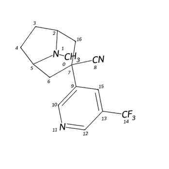 CN1C2CCC1CC(C#N)(c1cncc(C(F)(F)F)c1)C2